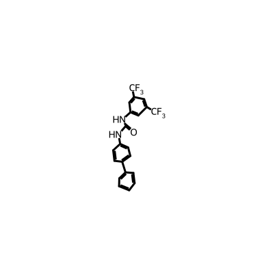 O=C(Nc1ccc(-c2ccccc2)cc1)Nc1cc(C(F)(F)F)cc(C(F)(F)F)c1